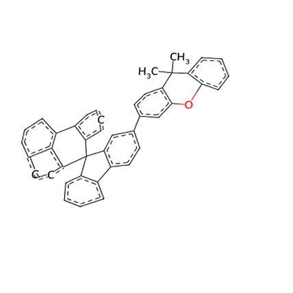 CC1(C)c2ccccc2Oc2cc(-c3ccc4c(c3)C3(c5ccccc5-4)c4ccccc4-c4cccc5cccc3c45)ccc21